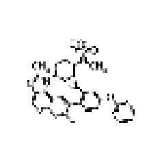 Cc1nc2cnc3cc(F)c(-c4ccc(Oc5ncccn5)cc4Cl)cc3c2n1C1CCC(N(C)S(C)(=O)=O)CC1